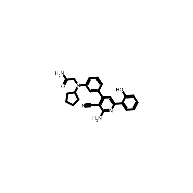 N#Cc1c(-c2cccc(N(CC(N)=O)C3CCCC3)c2)cc(-c2ccccc2O)nc1N